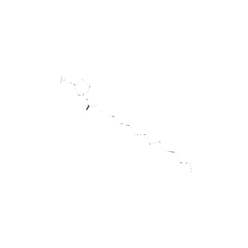 CCCCCCCCCCCCSSC(=S)N1CCC(O)C1